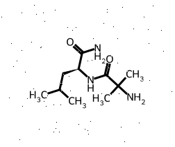 CC(C)C[C@H](NC(=O)C(C)(C)N)C(N)=O